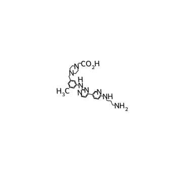 Cc1cc(CN2CCN(CC(=O)O)CC2)cc(Nc2nccc(-c3ccc(NCCCN)nc3)n2)c1